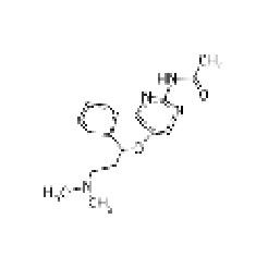 CC(=O)Nc1ncc(OC(CCN(C)C)c2ccccc2)cn1